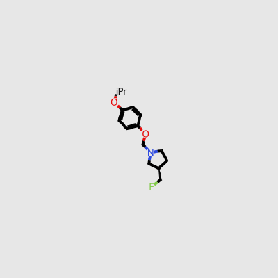 CC(C)Oc1ccc(OCN2CC[C@@H](CF)C2)cc1